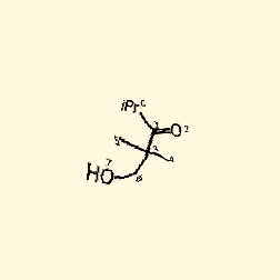 CC(C)C(=O)C(C)(C)CO